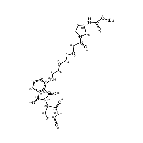 CC(C)(C)OC(=O)N[C@H]1CCN(C(=O)COCCOCCNc2cccc3c2C(=O)N(C2CCC(=O)NC2=O)C3=O)C1